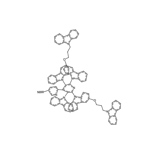 N#Cc1ccc(-c2c(-n3c4ccccc4c4ccccc43)c(-n3c4ccccc4c4cc(OCCCn5c6ccccc6c6ccccc65)ccc43)nc(-n3c4ccccc4c4cc(OCCCn5c6ccccc6c6ccccc65)ccc43)c2-n2c3ccccc3c3ccccc32)nc1